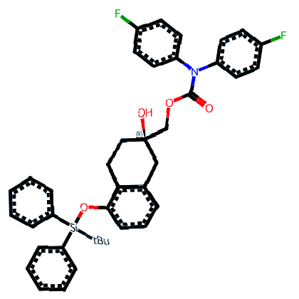 CC(C)(C)[Si](Oc1cccc2c1CC[C@](O)(COC(=O)N(c1ccc(F)cc1)c1ccc(F)cc1)C2)(c1ccccc1)c1ccccc1